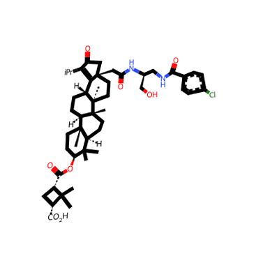 CC(C)C1=C2[C@H]3CC[C@@H]4[C@@]5(C)CC[C@H](OC(=O)[C@H]6C[C@@H](C(=O)O)C6(C)C)C(C)(C)[C@@H]5CC[C@@]4(C)[C@]3(C)CC[C@@]2(CC(=O)N[C@H](CO)CNC(=O)c2ccc(Cl)cc2)CC1=O